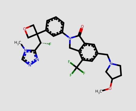 COC1CCN(Cc2cc3c(c(C(F)(F)F)c2)CN(c2cccc(C4([C@H](F)c5nncn5C)COC4)c2)C3=O)C1